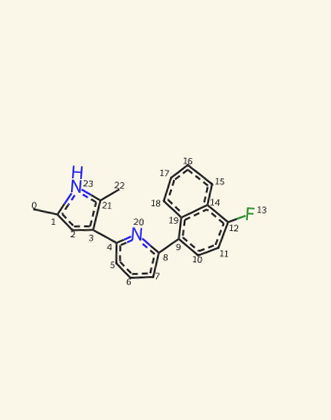 Cc1cc(-c2cccc(-c3ccc(F)c4ccccc34)n2)c(C)[nH]1